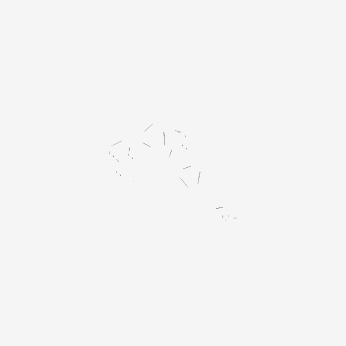 COC(=O)COc1cccc([C@@H](C)n2ncc3ccc(-c4ccnc(N)n4)cc3c2=O)c1